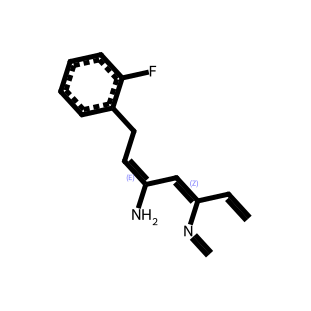 C=C/C(=C/C(N)=C\Cc1ccccc1F)N=C